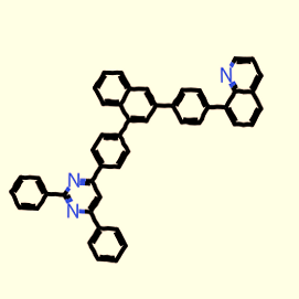 c1ccc(-c2cc(-c3ccc(-c4cc(-c5ccc(-c6cccc7cccnc67)cc5)cc5ccccc45)cc3)nc(-c3ccccc3)n2)cc1